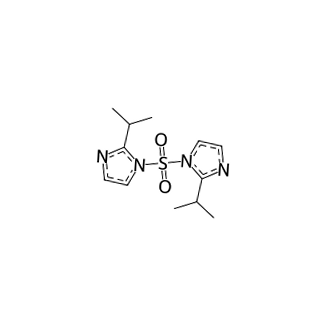 CC(C)c1nccn1S(=O)(=O)n1ccnc1C(C)C